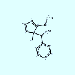 CC(C)(C)C(c1ccccc1)C1(C)C=NN=C1NC=O